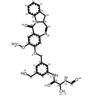 COc1cc2c(cc1OCc1cc(CO)cc(NC(=O)C(C)NC=O)c1)N=CC1Cc3ccccc3N1C2=O